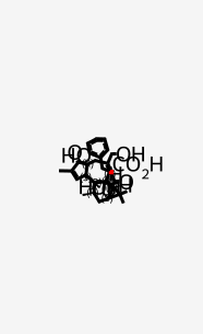 CC1=C[C@H]2[C@@]3(O)[C@H](C)C[C@]4(OC(=O)[C@@H](Cc5ccccc5)C(=O)O)[C@@H]([C@@H]3C=C(CO)C[C@]2(O)C1=O)C4(C)C